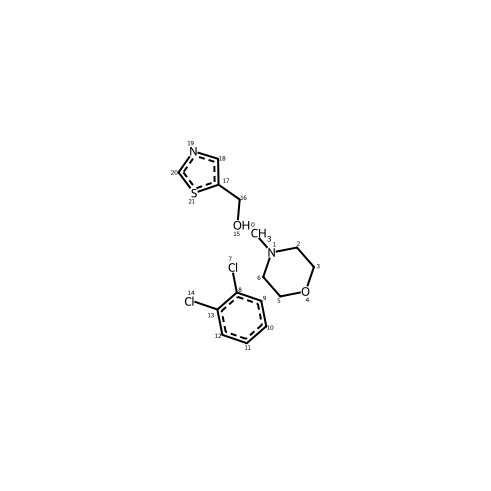 CN1CCOCC1.Clc1ccccc1Cl.OCc1cncs1